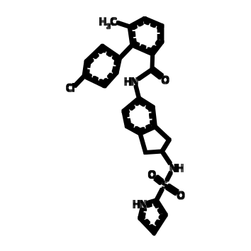 Cc1cccc(C(=O)Nc2ccc3c(c2)CC(NS(=O)(=O)c2ccc[nH]2)C3)c1-c1ccc(Cl)cc1